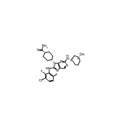 NC(=O)[C@H]1CC[C@H](n2c(Nc3c(F)ccc(Cl)c3F)nc3cnc(N[C@H]4CCC[C@@H](O)C4)nc32)CC1